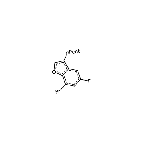 CCCCCc1coc2c(Br)cc(F)cc12